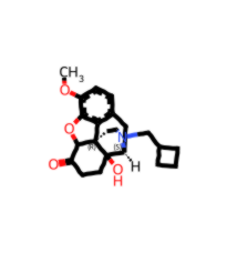 COc1ccc2c3c1OC1C(=O)CCC4(O)[C@H](C2)N(CC2CCC2)CC[C@@]314